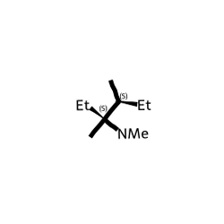 CC[C@H](C)[C@](C)(CC)NC